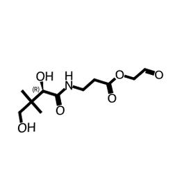 CC(C)(CO)[C@@H](O)C(=O)NCCC(=O)OCC=O